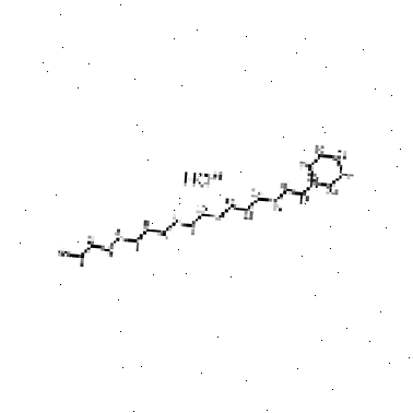 CCCCCCCCCCCCCCCCCCN1CCCCC1.Cl